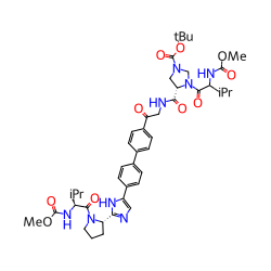 COC(=O)NC(C(=O)N1CN(C(=O)OC(C)(C)C)C[C@H]1C(=O)NCC(=O)c1ccc(-c2ccc(-c3cnc([C@@H]4CCCN4C(=O)[C@@H](NC(=O)OC)C(C)C)[nH]3)cc2)cc1)C(C)C